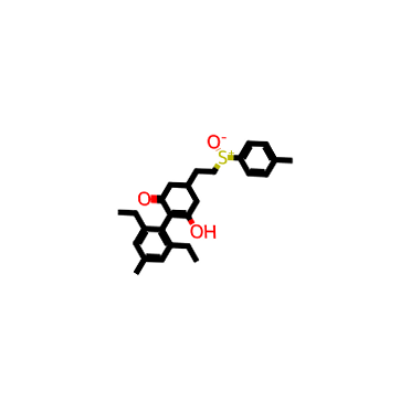 CCc1cc(C)cc(CC)c1C1=C(O)CC(CC[S+]([O-])c2ccc(C)cc2)CC1=O